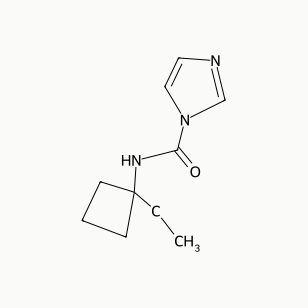 CCC1(NC(=O)n2ccnc2)CCC1